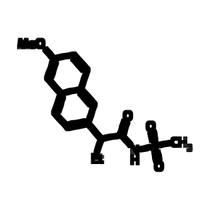 CCC(C(=O)NS(C)(=O)=O)c1ccc2cc(OC)ccc2c1